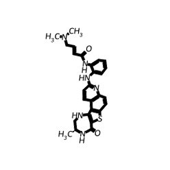 C[C@@H]1CNc2c(sc3ccc4nc(Nc5ccccc5NC(=O)/C=C/CN(C)C)ccc4c23)C(=O)N1